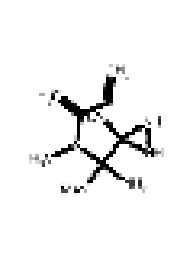 C=CC(=C)N(C)C(N)(NC)C1(N)NN1